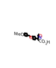 COc1ccc(COc2ccc(C(CC(=O)O)c3ccon3)cc2)cc1